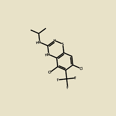 CC(C)NC1=NSc2cc(Cl)c(C(F)(F)F)c(Cl)c2N1